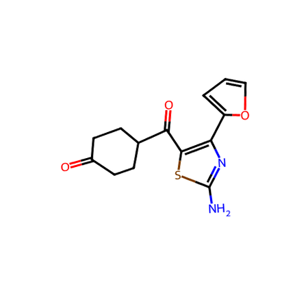 Nc1nc(-c2ccco2)c(C(=O)C2CCC(=O)CC2)s1